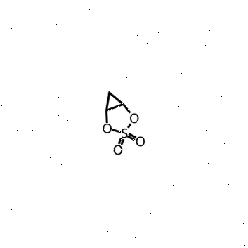 O=S1(=O)OC2CC2O1